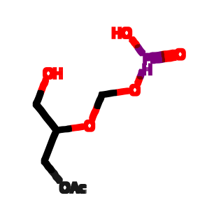 CC(=O)OCC(CO)OCO[PH](=O)O